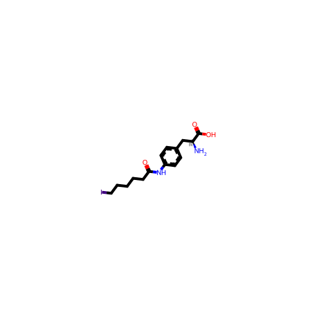 N[C@@H](Cc1ccc(NC(=O)CCCCCI)cc1)C(=O)O